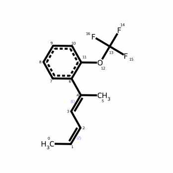 C/C=C\C=C(/C)c1ccccc1OC(F)(F)F